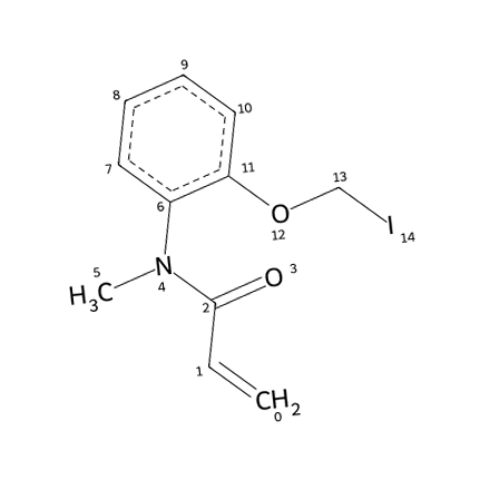 C=CC(=O)N(C)c1ccccc1OCI